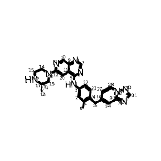 Cc1cc(Nc2ncnc3cnc(N4CCN[C@H](C)C4)cc23)ccc1Cc1ccn2ncnc2c1